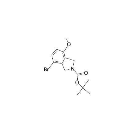 COc1ccc(Br)c2c1CN(C(=O)OC(C)(C)C)C2